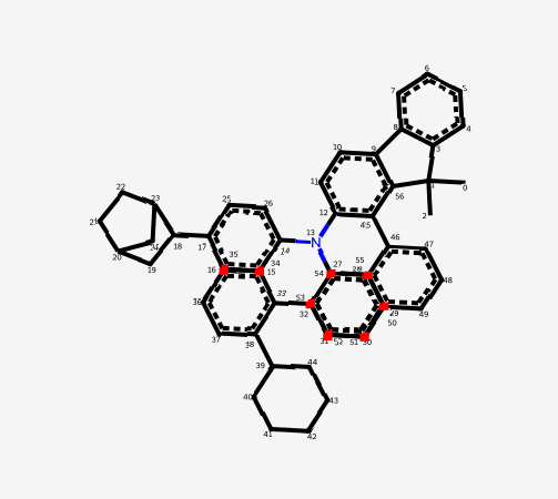 CC1(C)c2ccccc2-c2ccc(N(c3ccc(C4CC5CCC4C5)cc3)c3ccccc3-c3ccccc3C3CCCCC3)c(-c3cccc4ccccc34)c21